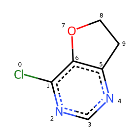 Clc1ncnc2c1OCC2